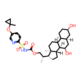 C[C@H](COC(=O)NS(=O)(=O)c1ccc(OC2(C)CC2)cn1)[C@H]1CC[C@H]2[C@@H]3[C@H](O)C[C@@H]4C[C@H](O)CC[C@]4(C)[C@H]3CC[C@]12C